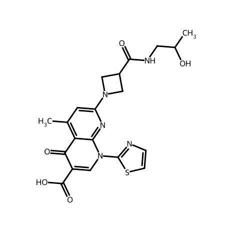 Cc1cc(N2CC(C(=O)NCC(C)O)C2)nc2c1c(=O)c(C(=O)O)cn2-c1nccs1